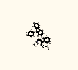 C=Cc1c(/C=C\C)n(-c2ccc3c4ccccc4n(-c4ccccc4)c3c2)c2ccccc12